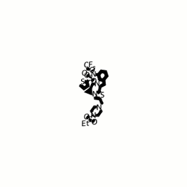 CCS(=O)(=O)N1CCN(Cc2cnc(-c3cc4cccc(N(OC(=O)C(F)(F)F)S(=O)(=O)c5cccs5)c4n3CC3CC3)s2)CC1